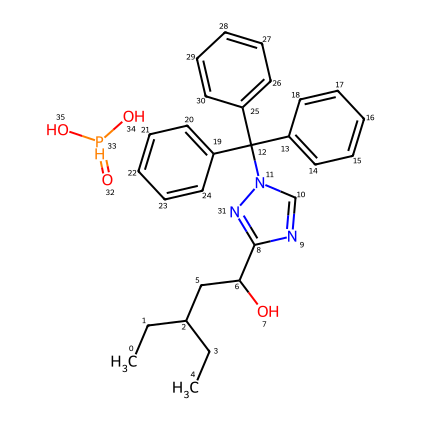 CCC(CC)CC(O)c1ncn(C(c2ccccc2)(c2ccccc2)c2ccccc2)n1.O=[PH](O)O